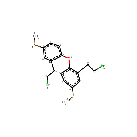 CSc1ccc(Oc2ccc(SC)cc2CCBr)c(CCBr)c1